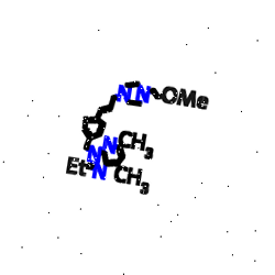 CCc1nc2c(C)cc(C)nc2n1Cc1ccc(C=CCN2CCN(CCOC)CC2)cc1